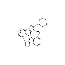 Clc1ccc(C2CCCCC2)c2c1C1(c3ccccc3O2)c2ccccc2-c2ccccc21